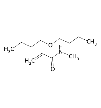 C=CC(=O)NC.CCCCOCCCC